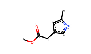 COC(=O)Cc1c[nH]c(C)c1